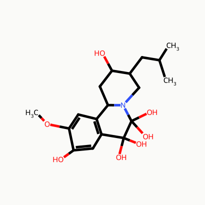 COc1cc2c(cc1O)C(O)(O)C(O)(O)N1CC(CC(C)C)C(O)CC21